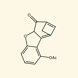 CC(=O)Oc1cccc2c1C1=C3C=C(C3)C(=O)C1O2